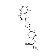 CC(N)Cc1ccc(C2CN(c3ccc4c(c3)OCCO4)C2)cc1